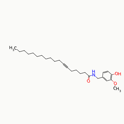 CCCCCCCCCCCC#CCCCCC(=O)NCc1ccc(O)c(OC)c1